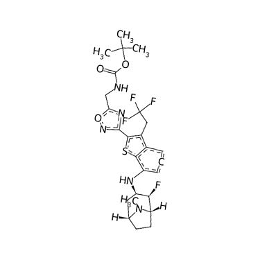 CN1[C@@H]2CC[C@H]1[C@H](F)[C@H](Nc1cccc3c(CC(F)(F)F)c(-c4noc(CNC(=O)OC(C)(C)C)n4)sc13)C2